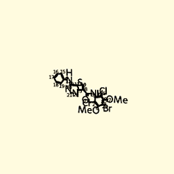 COc1c(Cl)c(NC(=O)c2csc3c(Nc4ccccc4)ncnc23)c(Cl)c(OC)c1Br